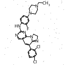 CCN1CCN(c2ccc(Nc3ncc4c(n3)N3CCN=C3C(c3ccc(Cl)cc3Cl)=C4)c(F)c2)CC1